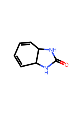 O=C1NC2C=CC=CC2N1